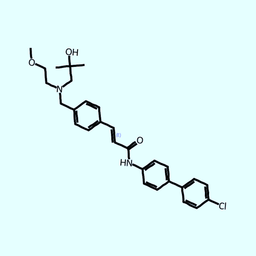 COCCN(Cc1ccc(/C=C/C(=O)Nc2ccc(-c3ccc(Cl)cc3)cc2)cc1)CC(C)(C)O